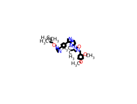 COc1ccc(CN2CC(C(C)C)N(c3ccn4ncc(-c5ccc(-c6nccn6COCC[Si](C)(C)C)cc5)c4n3)C2=O)c(OC)c1